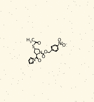 CC(=O)SC1CC(C(=O)n2cccc2)N(C(=O)OCc2ccc([N+](=O)[O-])cc2)C1